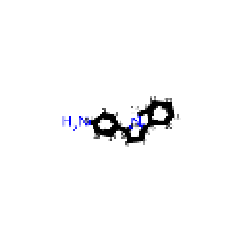 Nc1ccc(C2CC=C3c4ccccc4CN32)cc1